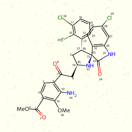 COC(=O)c1ccc(C(=O)C[C@H]2C[C@H](c3cccc(Cl)c3F)[C@@]3(N2)C(=O)Nc2cc(Cl)ccc23)c(N)c1OC